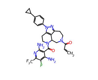 C=CC(=O)N1CCc2nn(-c3ccc(C4CC4)cc3)c3c2C(C1)N(C(=O)c1c(N)nc(C(F)(F)F)c(F)c1N)CC3